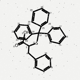 O=C(O)C(Cc1ccccc1)SC(c1ccccc1)(c1ccccc1)c1ccccc1